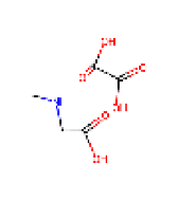 CNCC(=O)O.O=C(O)C(=O)O